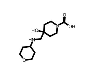 O=C(O)N1CCC(O)(CNC2CCOCC2)CC1